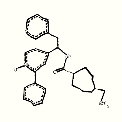 NC[C@H]1CC[C@H](C(=O)NC(Cc2ccccc2)c2cc[n+]([O-])c(-c3ccccc3)c2)CC1